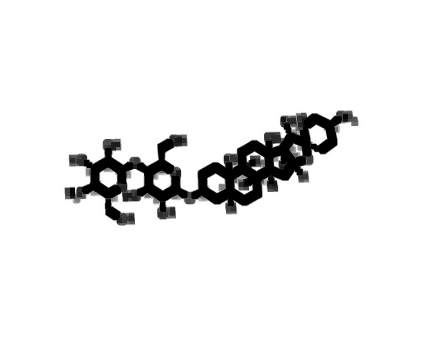 C[C@H]1CC[C@]2(NC1)O[C@H]1C[C@H]3[C@@H]4CC[C@H]5C[C@@H](O[C@@H]6O[C@H](CO)[C@H](O[C@H]7O[C@H](CO)[C@@H](C)[C@H](O)[C@H]7O)[C@H](O)[C@H]6O)CC[C@]5(C)[C@H]4CC[C@]3(C)[C@H]1[C@@H]2C